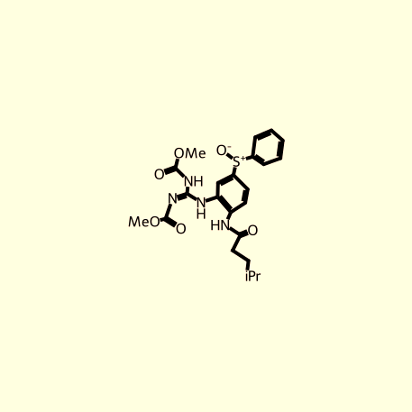 COC(=O)N=C(NC(=O)OC)Nc1cc([S+]([O-])c2ccccc2)ccc1NC(=O)CCC(C)C